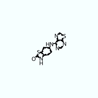 O=c1[nH]c2ccc(Nc3ncnc4scnc34)cc2s1